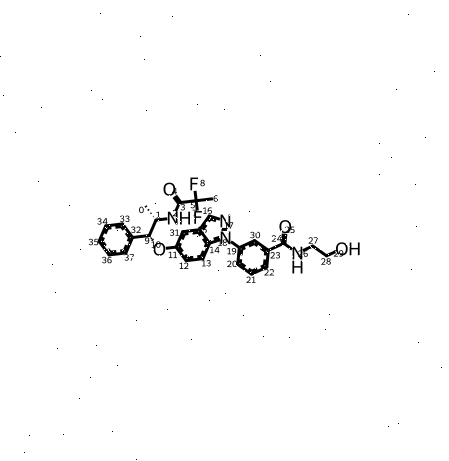 C[C@H](NC(=O)C(C)(F)F)[C@H](Oc1ccc2c(cnn2-c2cccc(C(=O)NCCO)c2)c1)c1ccccc1